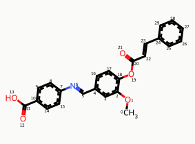 COc1cc(/C=N/c2ccc(C(=O)O)cc2)ccc1OC(=O)C=Cc1ccccc1